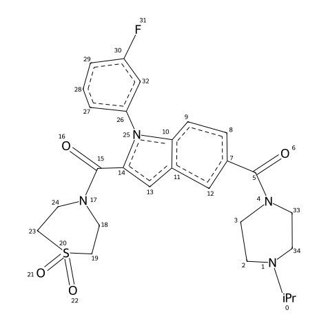 CC(C)N1CCN(C(=O)c2ccc3c(c2)cc(C(=O)N2CCS(=O)(=O)CC2)n3-c2cccc(F)c2)CC1